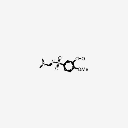 COc1ccc(S(=O)(=O)/N=C/N(C)C)cc1C=O